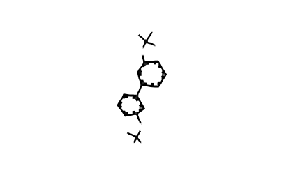 FC(F)(F)Oc1cccc(-c2[c]ccc(SC(F)(F)F)c2)c1